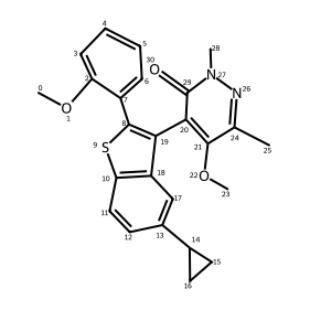 COc1ccccc1-c1sc2ccc(C3CC3)cc2c1-c1c(OC)c(C)nn(C)c1=O